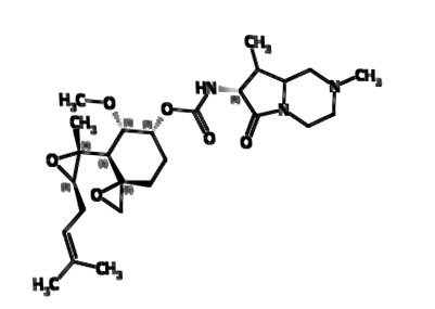 CO[C@@H]1[C@H](OC(=O)N[C@H]2C(=O)N3CCN(C)CC3C2C)CC[C@]2(CO2)[C@H]1[C@@]1(C)O[C@@H]1CC=C(C)C